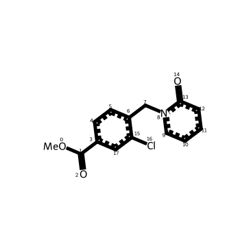 COC(=O)c1ccc(Cn2ccccc2=O)c(Cl)c1